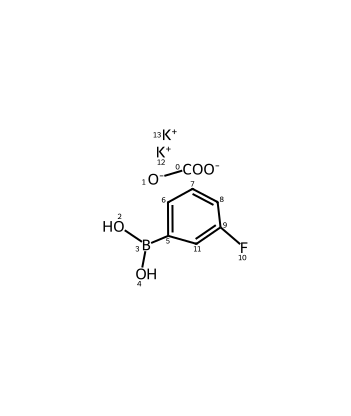 O=C([O-])[O-].OB(O)c1cccc(F)c1.[K+].[K+]